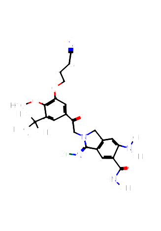 CNC(=O)c1cc2c(cc1N(C)C)CN(CC(=O)c1cc(OCCCC#N)c(OC)c(C(C)(C)C)c1)/C2=N\Br